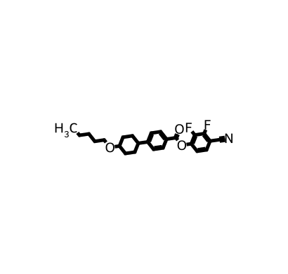 CCCCCOC1CCC(c2ccc(C(=O)Oc3ccc(C#N)c(F)c3F)cc2)CC1